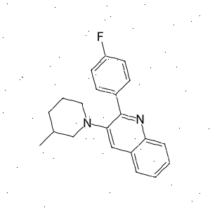 CC1CCCN(c2cc3ccccc3nc2-c2ccc(F)cc2)C1